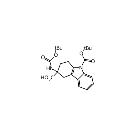 CC(C)(C)OC(=O)NC1(C(=O)O)CCc2c(c3ccccc3n2C(=O)OC(C)(C)C)C1